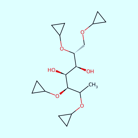 CC(OC1CC1)[C@@H](OC1CC1)[C@@H](O)[C@H](O)[C@@H](COC1CC1)OC1CC1